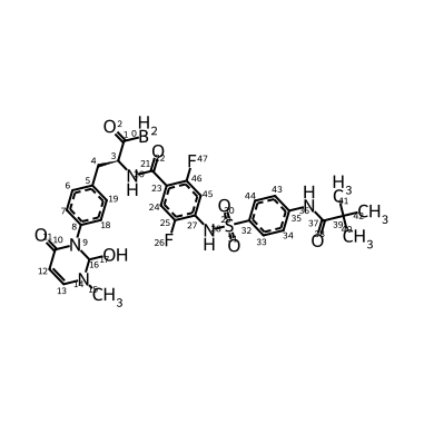 BC(=O)[C@H](Cc1ccc(N2C(=O)C=CN(C)C2O)cc1)NC(=O)c1cc(F)c(NS(=O)(=O)c2ccc(NC(=O)C(C)(C)C)cc2)cc1F